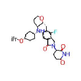 CC(C)O[C@H]1CC[C@@H](N[C@H]2CCCO[C@@H]2Cc2ccc3c(c2F)CN(C2CCC(=O)NC2=O)C3=O)CC1